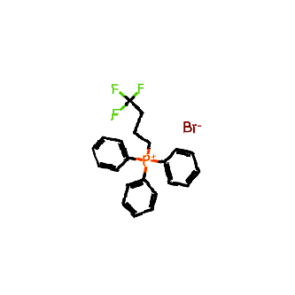 FC(F)(F)CCC[P+](c1ccccc1)(c1ccccc1)c1ccccc1.[Br-]